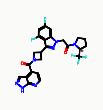 O=C(c1ccnc2[nH]ncc12)N1CC(c2nn(CC(=O)N3CCC[C@H]3C(F)(F)F)c3cc(F)cc(F)c23)C1